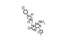 COc1ccc(N2C[C@@H]3C[C@H]2CN3CCn2c(=O)cnc3c(-c4ccc(C)o4)nc(N)nc32)cc1